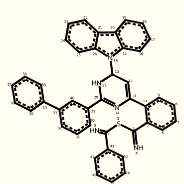 N=C(SC(=N)c1ccccc1C1=CC(n2c3ccccc3c3ccccc32)NC(c2cccc(-c3ccccc3)c2)=N1)c1ccccc1